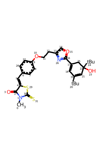 CN1C(=O)/C(=C/c2ccc(OCCc3coc(C4=CC(C(C)(C)C)=CC(O)(C(C)(C)C)C4)n3)cc2)SC1=S